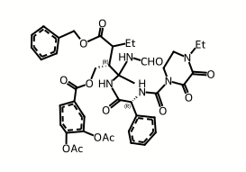 CCC(C(=O)OCc1ccccc1)[C@@H](COC(=O)c1ccc(OC(C)=O)c(OC(C)=O)c1)C(C)(NC=O)NC(=O)[C@H](NC(=O)N1CCN(CC)C(=O)C1=O)c1ccccc1